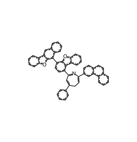 C1=C(c2ccccc2)CC=C(c2ccc3ccc4ccccc4c3c2)N=C1c1ccc(-c2c3ccccc3cc3c2oc2ccccc23)c2oc3ccccc3c12